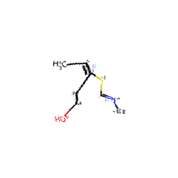 C/C=C(\CCO)S/C=N/CC